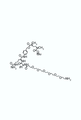 CC(C)[C@H](NC(=O)CCOCCOCCOCCOCCOCCOCCN)C(=O)N[C@@H](CCCNC(N)=O)C(=O)Nc1ccc(COC(=O)N(C)CCN(C)C(=O)OC(C)(C)C)cc1